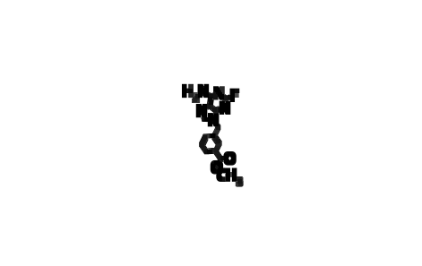 COC(=O)c1cccc(Cn2cnc3c(N)nc(F)nc32)c1